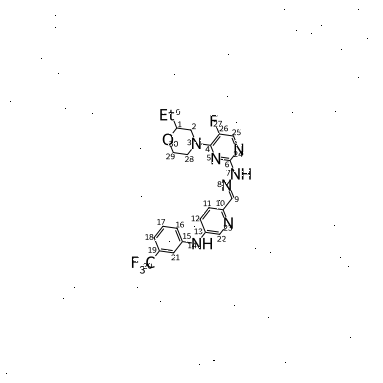 CCC1CN(c2nc(N/N=C/c3ccc(Nc4cccc(C(F)(F)F)c4)cn3)ncc2F)CCO1